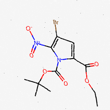 CCOC(=O)c1cc(Br)c([N+](=O)[O-])n1C(=O)OC(C)(C)C